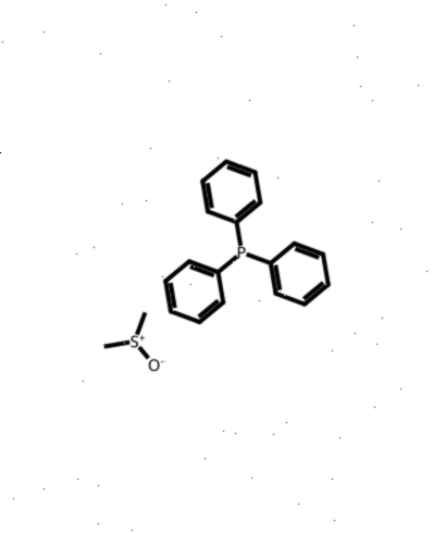 C[S+](C)[O-].c1ccc(P(c2ccccc2)c2ccccc2)cc1